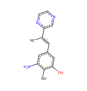 N#C/C(=C\c1cc(N)c(N=O)c(O)c1)c1cnccn1